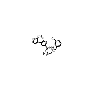 Cn1nccc1-c1csc(C(=O)N[C@H](CN)Cc2cccc(Cl)c2)c1